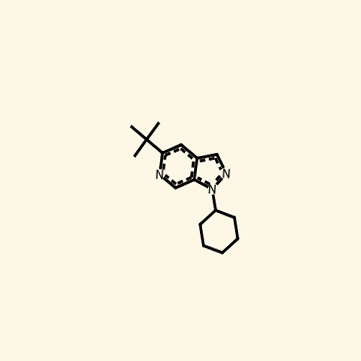 CC(C)(C)c1cc2cnn(C3CCCCC3)c2cn1